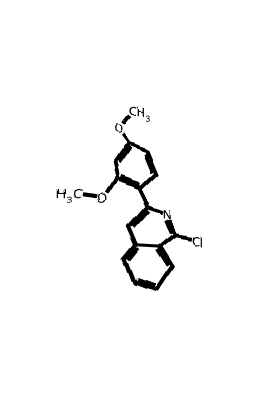 COc1ccc(-c2cc3ccccc3c(Cl)n2)c(OC)c1